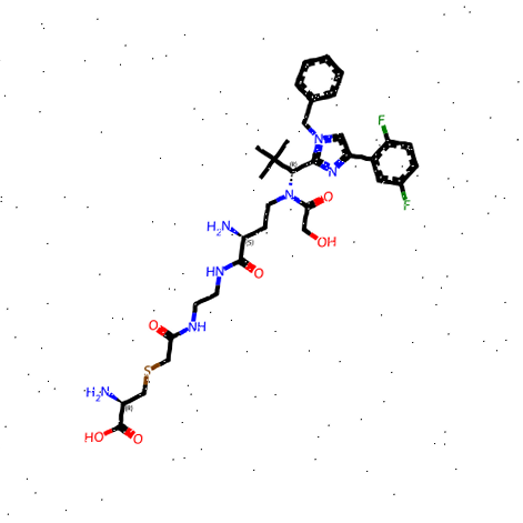 CC(C)(C)[C@H](c1nc(-c2cc(F)ccc2F)cn1Cc1ccccc1)N(CC[C@H](N)C(=O)NCCNC(=O)CSC[C@H](N)C(=O)O)C(=O)CO